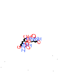 O=C(O)C=C(Cc1cc(=O)[nH]c(=O)[nH]1)C(=O)OCc1cc(=O)[nH]c(=O)[nH]1